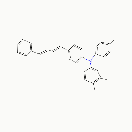 Cc1ccc(N(c2ccc(/C=C/C=C/c3ccccc3)cc2)c2ccc(C)c(C)c2)cc1